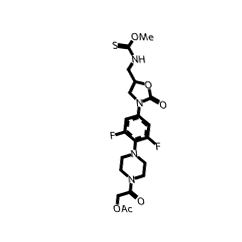 COC(=S)NCC1CN(c2cc(F)c(N3CCN(C(=O)COC(C)=O)CC3)c(F)c2)C(=O)O1